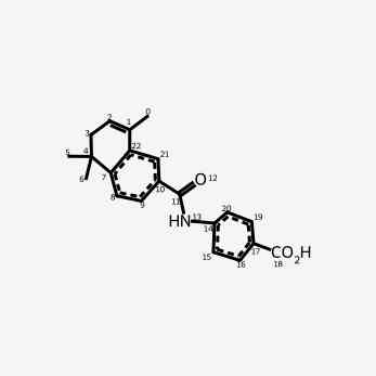 CC1=CCC(C)(C)c2ccc(C(=O)Nc3ccc([14C](=O)O)cc3)cc21